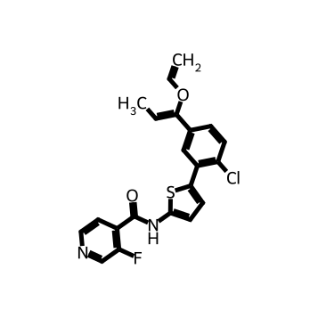 C=CO/C(=C\C)c1ccc(Cl)c(-c2ccc(NC(=O)c3ccncc3F)s2)c1